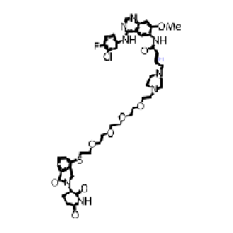 COc1cc2ncnc(Nc3ccc(F)c(Cl)c3)c2cc1NC(=O)/C=C/CN1CCN(CCOCCOCCOCCOCCSc2cccc3c2CN(C2CCC(=O)NC2=O)C3=O)CC1